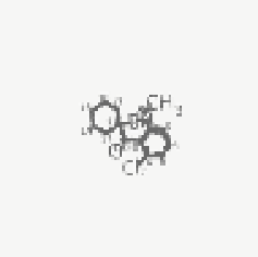 COc1cccc(Cl)c1C(=O)C1(P)CCCCC1